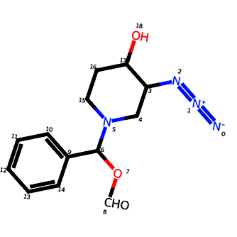 [N-]=[N+]=NC1CN(C(OC=O)c2ccccc2)CCC1O